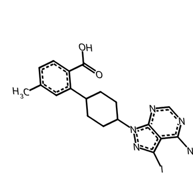 Cc1ccc(C(=O)O)c(C2CCC(n3nc(I)c4c(N)ncnc43)CC2)c1